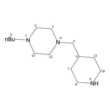 CCCCN1CCN(CC2CCNCC2)CC1